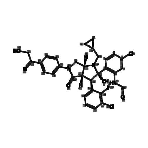 C[C@@]1(c2ccc(Cl)cc2NC=O)[C@@H](c2cccc(Cl)c2F)[C@@H]2C(=O)N(c3ccc(C(=O)CO)cc3)C[C@@H]2N1CC1CC1